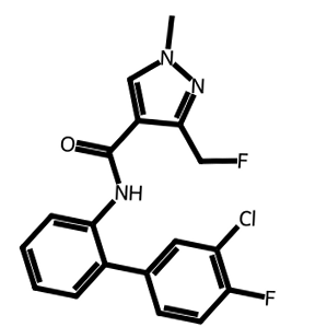 Cn1cc(C(=O)Nc2ccccc2-c2ccc(F)c(Cl)c2)c(CF)n1